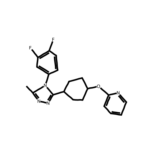 Cc1nnc(C2CCC(Oc3ccccn3)CC2)n1-c1ccc(F)c(F)c1